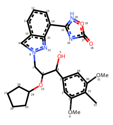 COc1cc(C(O)C(Cn2cc3cccc(-c4nc(=O)o[nH]4)c3n2)OC2CCCC2)cc(OC)c1C